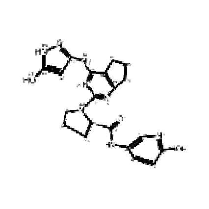 O=C(Nc1ccc(O)nc1)[C@H]1CCCN1c1nc2c(c(Nc3cc(O)[nH]n3)n1)CCC2